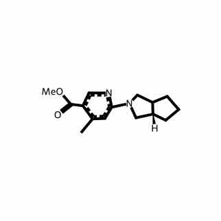 COC(=O)c1cnc(N2CC3CCC[C@@H]3C2)cc1C